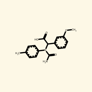 COc1cccc(C(C(=O)O)N(C(N)=O)c2ccc(C)cc2)c1